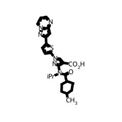 CC1CCC(C(=O)N(c2nn(-c3ccc(-c4cc5ncccn5n4)s3)cc2C(=O)O)C(C)C)CC1